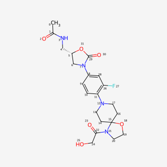 CC(=O)NC[C@H]1CN(c2ccc(N3CCC4(CC3)OCCN4C(=O)CO)c(F)c2)C(=O)O1